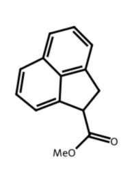 COC(=O)C1Cc2cccc3cccc1c23